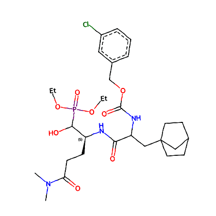 CCOP(=O)(OCC)C(O)[C@H](CCC(=O)N(C)C)NC(=O)C(CC12CCC(CC1)C2)NC(=O)OCc1cccc(Cl)c1